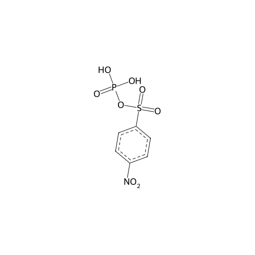 O=[N+]([O-])c1ccc(S(=O)(=O)OP(=O)(O)O)cc1